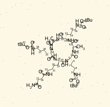 C[C@H]1NC(=O)[C@H](CCCCNC(=O)OC(C)(C)C)NC(=O)[C@@H](CCCCNC(=O)CCC(N)=O)NC(=O)[C@H](CCCCNC(=O)OC(C)(C)C)NC(=O)[C@@H](C)NC(=O)[C@H](CCCCNC(=O)OC(C)(C)C)NC1=O